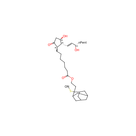 CCCCC[C@H](O)C=C[C@H]1[C@H](O)CC(=O)[C@@H]1CCCCCCC(=O)OCCC1(SN=O)C2CC3CC(C2)CC1C3